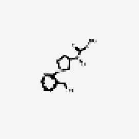 CCN(C(=O)OC(C)(C)C)[C@@H]1CCN(c2ncccc2CO)C1